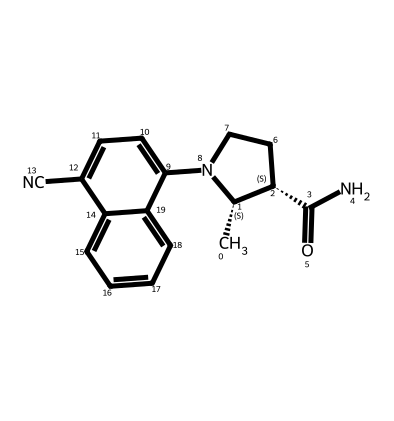 C[C@H]1[C@@H](C(N)=O)CCN1c1ccc(C#N)c2ccccc12